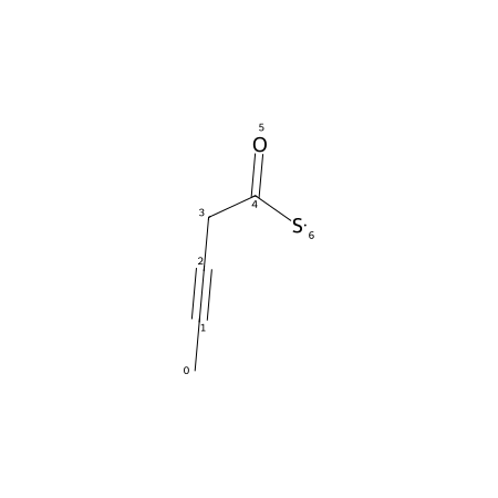 CC#CCC(=O)[S]